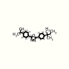 CCC(C)(C)c1ccc(-c2nnc(-c3ccc(C(C)C)cc3)o2)cc1